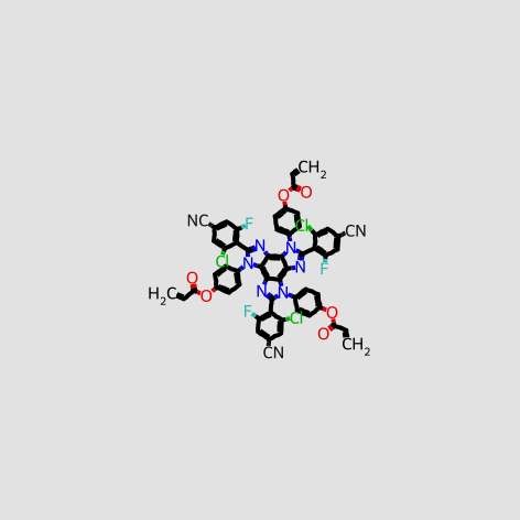 C=CC(=O)Oc1ccc(-n2c(-c3c(F)cc(C#N)cc3Cl)nc3c2c2nc(-c4c(F)cc(C#N)cc4Cl)n(-c4ccc(OC(=O)C=C)cc4)c2c2nc(-c4c(F)cc(C#N)cc4Cl)n(-c4ccc(OC(=O)C=C)cc4)c32)cc1